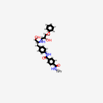 CCCNC(=O)c1ccc(C(=O)Nc2ccc(C[C@@H](CO)NC[C@H](O)COc3ccccc3)cc2)cc1